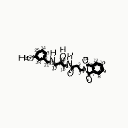 O=C(CCN1C(=O)c2ccccc2C1=O)NC[C@H](O)CNCc1cccc(O)c1